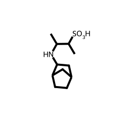 CC(NC1CC2CCC1C2)C(C)S(=O)(=O)O